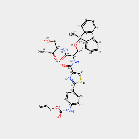 C=CCOC(=O)Nc1ccc(-c2nc(C(=O)NC(CO[Si](c3ccccc3)(c3ccccc3)C(C)(C)C)C(=O)NC(CO)C(=O)OC)cs2)cc1